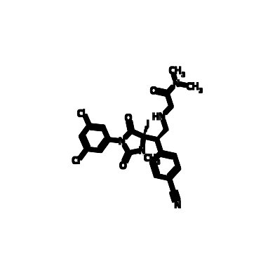 CN(C)C(=O)CNC[C@@H](c1ccc(C#N)cc1)[C@]1(I)C(=O)N(c2cc(Cl)cc(Cl)c2)C(=O)N1C